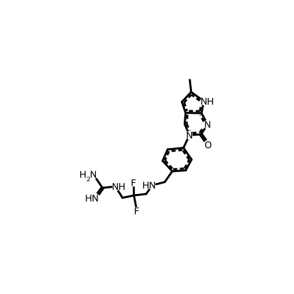 Cc1cc2cn(-c3ccc(CNCC(F)(F)CNC(=N)N)cc3)c(=O)nc2[nH]1